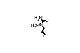 C=CCN(N)C(N)=O